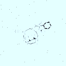 CCOP(=O)(CN1CCN(C=O)CCN2CCN(CC1)C(=O)C2=O)c1ccccc1